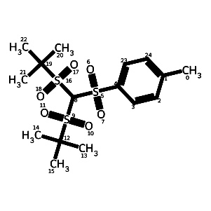 Cc1ccc(S(=O)(=O)C(S(=O)(=O)C(C)(C)C)S(=O)(=O)C(C)(C)C)cc1